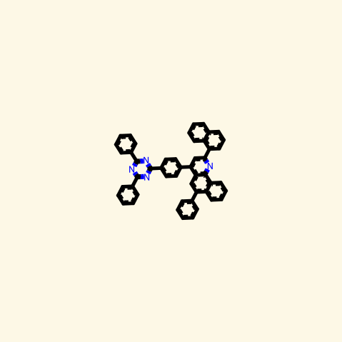 c1ccc(-c2nc(-c3ccccc3)nc(-c3ccc(-c4cc(-c5cccc6ccccc56)nc5c4cc(-c4ccccc4)c4ccccc45)cc3)n2)cc1